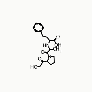 CC(NC(CCc1ccccc1)C(=O)O)C(=O)N1CCC[C@H]1C(=O)CO